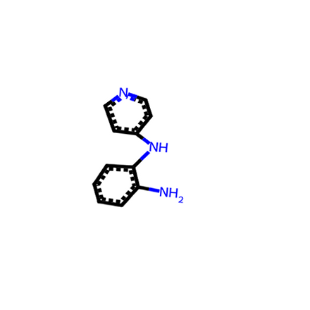 Nc1ccccc1Nc1ccncc1